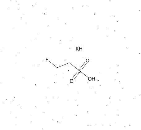 O=S(=O)(O)CCF.[KH]